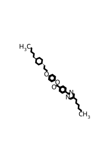 CCCCCCc1cnc(-c2ccc(C(=O)Oc3ccc(OCCC[C@H]4CC[C@H](CCCCC)CC4)cc3)cc2)nc1